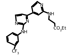 CCOC(=O)CCNc1cc(-c2ccnc(Nc3cccc(C(F)(F)F)c3)n2)ccn1